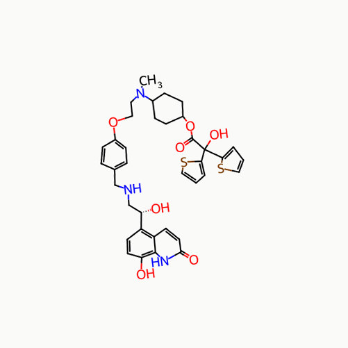 CN(CCOc1ccc(CNC[C@H](O)c2ccc(O)c3[nH]c(=O)ccc23)cc1)C1CCC(OC(=O)C(O)(c2cccs2)c2cccs2)CC1